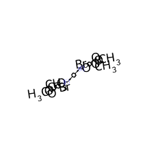 CCOC(=O)C(Cc1ccc(OC/C=C/C#Cc2ccc(C#C/C=C/COc3ccc(CC(OCC)C(=O)OCC)cc3Br)cc2)c(Br)c1)OCC